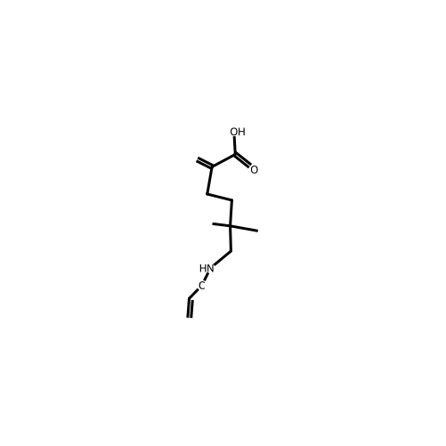 C=CCNCC(C)(C)CCC(=C)C(=O)O